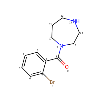 O=C(c1ccccc1Br)N1CCCNCC1